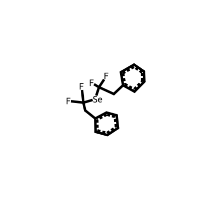 FC(F)(Cc1ccccc1)[Se]C(F)(F)Cc1ccccc1